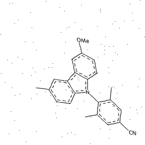 COc1ccc2c(c1)c1cc(C)ccc1n2-c1c(C)cc(C#N)cc1C